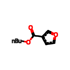 [CH2]CCCOC(=O)c1ccoc1